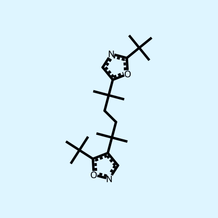 CC(C)(C)c1ncc(C(C)(C)CCC(C)(C)c2cnoc2C(C)(C)C)o1